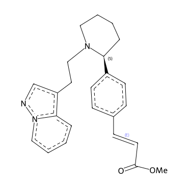 COC(=O)/C=C/c1ccc([C@@H]2CCCCN2CCc2cnn3ccccc23)cc1